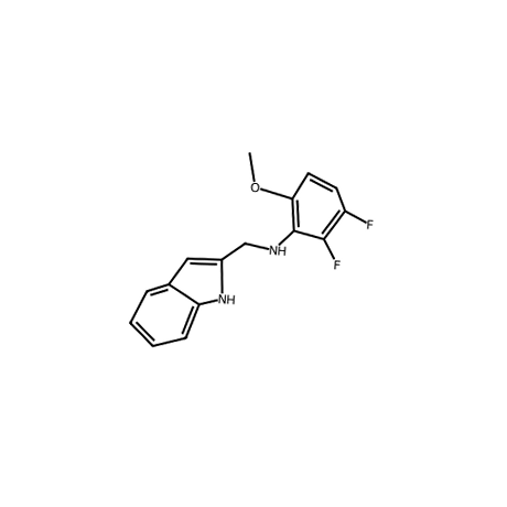 COc1ccc(F)c(F)c1NCc1cc2ccccc2[nH]1